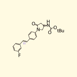 CC(C)(C)OC(=O)N[C@@H]1CC(=O)N(c2ccc(/C=C/c3cccc(F)c3)cc2)C1